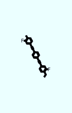 CCc1ccc(C#Cc2ccc(C#Cc3ccc(C)c(F)c3)cc2)cc1F